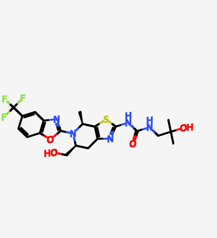 C[C@H]1c2sc(NC(=O)NCC(C)(C)O)nc2C[C@@H](CO)N1c1nc2cc(C(F)(F)F)ccc2o1